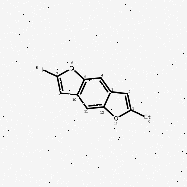 CCc1cc2cc3oc(I)cc3cc2o1